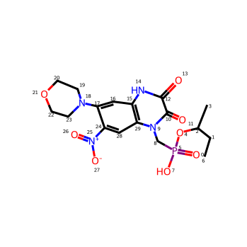 CCC(C)OP(=O)(O)Cn1c(=O)c(=O)[nH]c2cc(N3CCOCC3)c([N+](=O)[O-])cc21